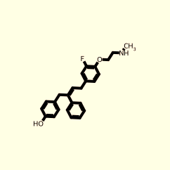 CNCCOc1ccc(CC=C(Cc2ccc(O)cc2)c2ccccc2)cc1F